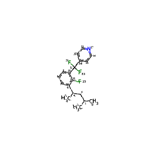 CC(C)CC(C)c1cccc(C(F)(F)c2ccncc2)c1F